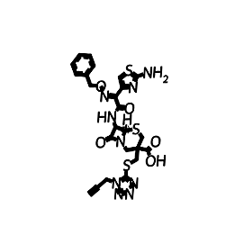 C#CCn1nnnc1SCC1(C(=O)O)CS[C@@H]2C(NC(=O)C(=NOCc3ccccc3)c3csc(N)n3)C(=O)N2C1